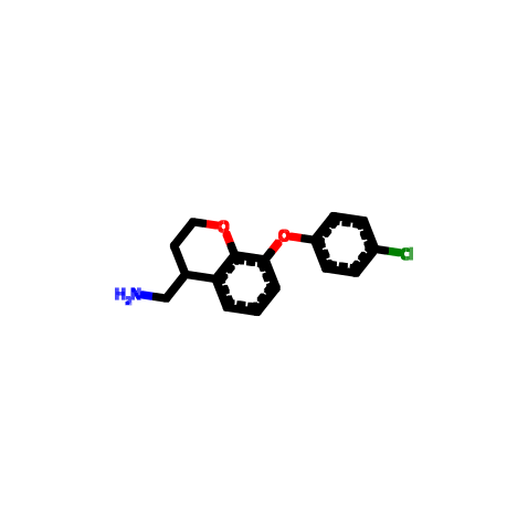 NCC1CCOc2c(Oc3ccc(Cl)cc3)cccc21